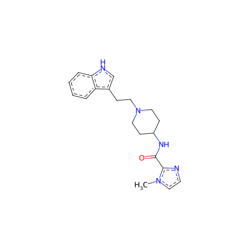 Cn1ccnc1C(=O)NC1CCN(CCc2c[nH]c3ccccc23)CC1